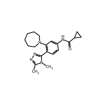 Cc1nnc(-c2ccc(NC(=O)C3CC3)cc2N2CCCCCC2)n1C